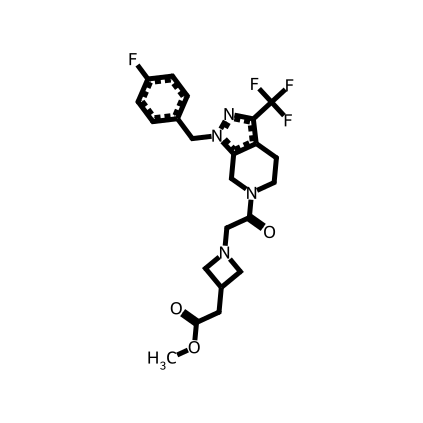 COC(=O)CC1CN(CC(=O)N2CCc3c(C(F)(F)F)nn(Cc4ccc(F)cc4)c3C2)C1